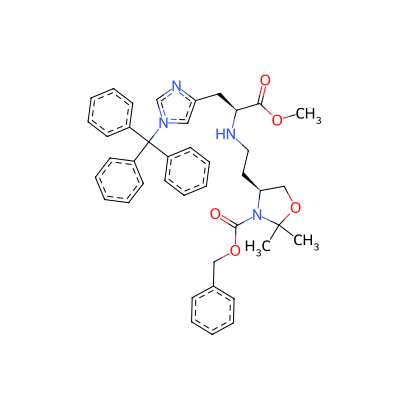 COC(=O)[C@H](Cc1cn(C(c2ccccc2)(c2ccccc2)c2ccccc2)cn1)NCC[C@H]1COC(C)(C)N1C(=O)OCc1ccccc1